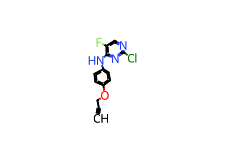 C#CCOc1ccc(Nc2nc(Cl)ncc2F)cc1